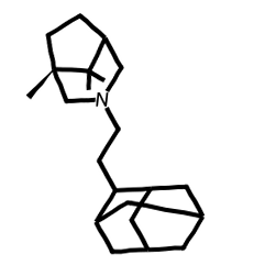 CC1(C)C2CC[C@@]1(C)CN(CCC1C3CC4CC(C3)CC1C4)C2